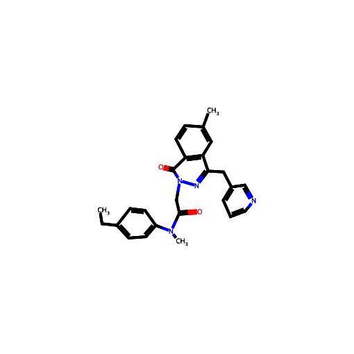 CCc1ccc(N(C)C(=O)Cn2nc(Cc3cccnc3)c3cc(C)ccc3c2=O)cc1